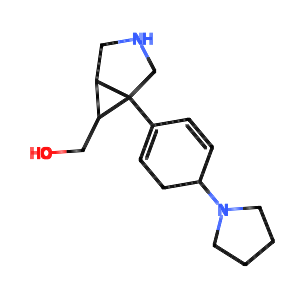 OCC1C2CNCC12C1=CCC(N2CCCC2)C=C1